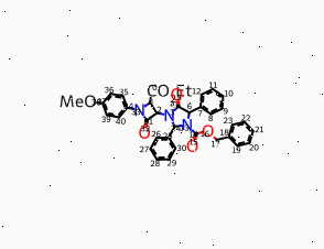 CCOC(=O)C1C(N2C(=O)C(c3ccccc3)N(C(=O)OCc3ccccc3)C2c2ccccc2)C(=O)N1c1ccc(OC)cc1